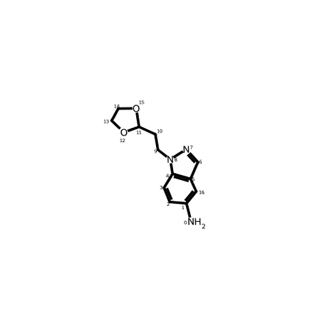 Nc1ccc2c(cnn2CCC2OCCO2)c1